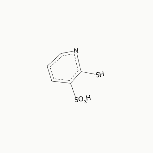 O=S(=O)(O)c1cccnc1S